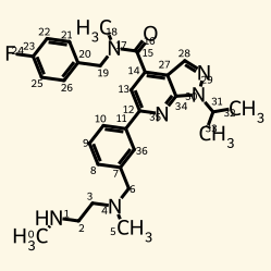 CNCCN(C)Cc1cccc(-c2cc(C(=O)N(C)Cc3ccc(F)cc3)c3cnn(C(C)C)c3n2)c1